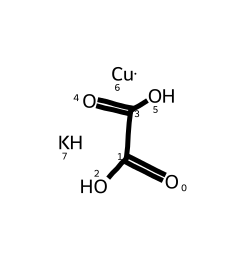 O=C(O)C(=O)O.[Cu].[KH]